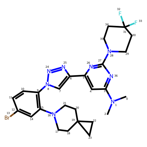 CN(C)c1cc(-c2cn(-c3ccc(Br)cc3N3CCC4(CC3)CC4)nn2)nc(N2CCC(F)(F)CC2)n1